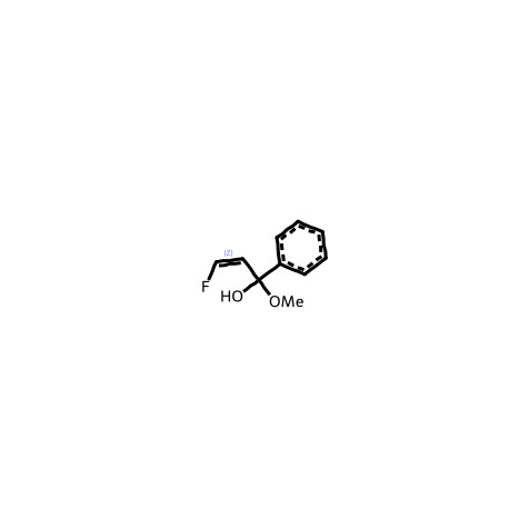 COC(O)(/C=C\F)c1ccccc1